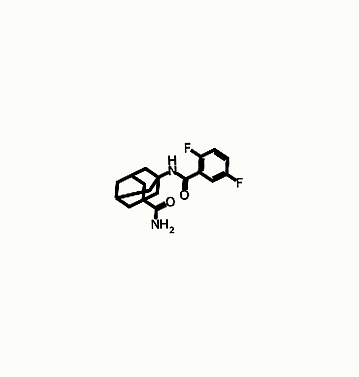 NC(=O)C12CC3CC(CC(NC(=O)c4cc(F)ccc4F)(C3)C1)C2